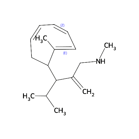 C=C(CNC)C(C(C)C)C1CC=C/C=C\C=C\1C